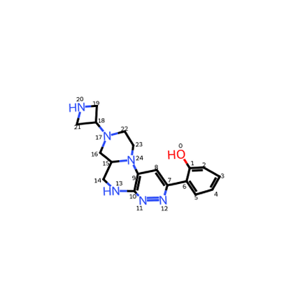 Oc1ccccc1-c1cc2c(nn1)NCC1CN(C3CNC3)CCN21